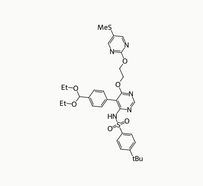 CCOC(OCC)c1ccc(-c2c(NS(=O)(=O)c3ccc(C(C)(C)C)cc3)ncnc2OCCOc2ncc(SC)cn2)cc1